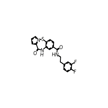 O=C(NCCc1ccc(F)c(F)c1)c1ccc2c(c1)NC(=O)c1cccn1S2